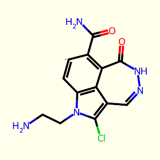 NCCn1c(Cl)c2c3c(c(C(N)=O)[c]cc31)C(=O)NN=C2